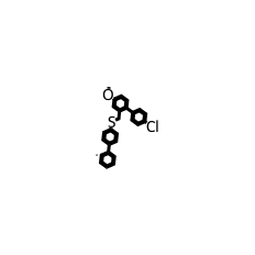 COc1ccc(-c2ccc(Cl)cc2)c(CSc2ccc(-c3[c]cccc3)cc2)c1